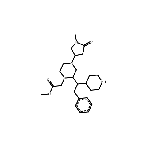 COC(=O)CN1CCN(C2CN(C)C(=O)O2)CC1C(Cc1ccccc1)C1CCNCC1